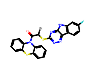 CCC(Sc1nnc2c(n1)[nH]c1cc(F)ccc12)C(=O)N1c2ccccc2Sc2ccccc21